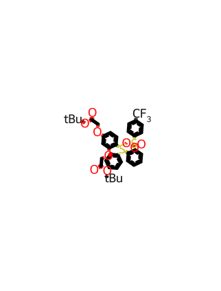 CC(C)(C)OC(=O)COc1ccc(S(OS(=O)(=O)c2ccc(C(F)(F)F)cc2)(c2ccccc2)c2ccccc2)c(OCC(=O)OC(C)(C)C)c1